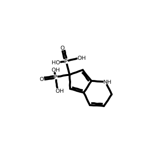 O=P(O)(O)C1(P(=O)(O)O)C=C2C=CCNC2=C1